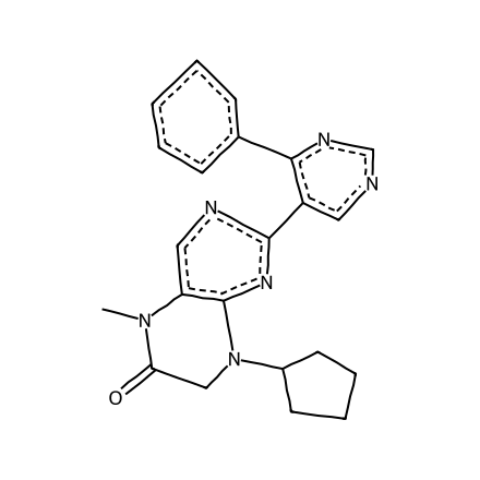 CN1C(=O)CN(C2CCCC2)c2nc(-c3cncnc3-c3ccccc3)ncc21